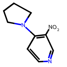 O=[N+]([O-])c1cnccc1N1CCCC1